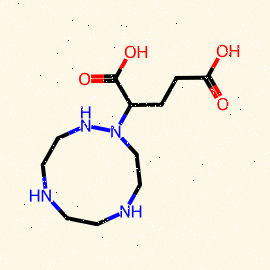 O=C(O)CCC(C(=O)O)N1CCNCCNCCN1